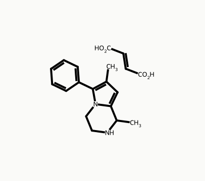 Cc1cc2n(c1-c1ccccc1)CCNC2C.O=C(O)C=CC(=O)O